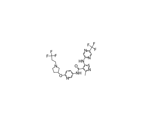 Cc1nsc(Nc2cnc(C(F)(F)F)cn2)c1C(=O)Nc1ccc(O[C@H]2CCN(CCC(F)(F)F)C2)nc1